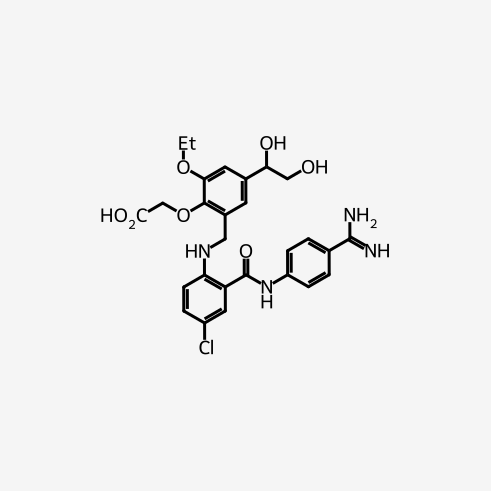 CCOc1cc(C(O)CO)cc(CNc2ccc(Cl)cc2C(=O)Nc2ccc(C(=N)N)cc2)c1OCC(=O)O